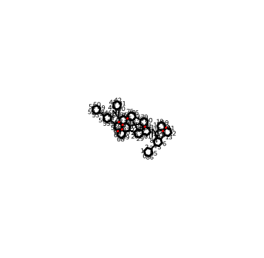 c1ccc(-c2ccc(-c3ccccc3)c(N(c3ccccc3)c3ccc4c5c(ccc4c3)-c3c(c4ccc(N(c6ccccc6)c6cc(-c7ccccc7)ccc6-c6ccccc6)cc4c4ccccc34)C53c4ccccc4-c4ccccc43)c2)cc1